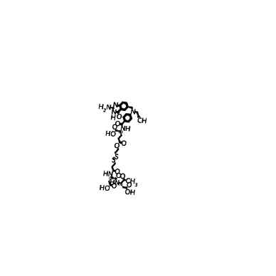 C#CCN(Cc1ccc2nc(N)[nH]c(=O)c2c1)c1ccc(C(=O)N[C@@H](CCC(=O)OCCSSCCC(=O)N[C@@H](CC(=O)O)C(=O)N[C@@H](CC(=O)O)C(C)=O)C(=O)O)cc1